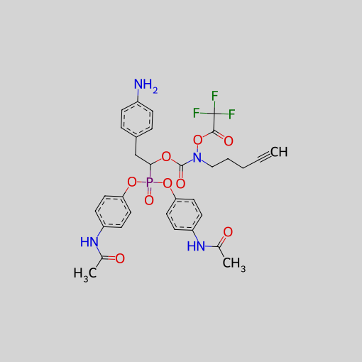 C#CCCCN(OC(=O)C(F)(F)F)C(=O)OC(Cc1ccc(N)cc1)P(=O)(Oc1ccc(NC(C)=O)cc1)Oc1ccc(NC(C)=O)cc1